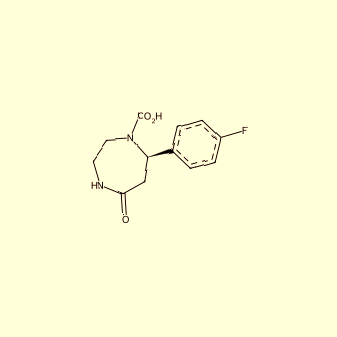 O=C1C[C@H](c2ccc(F)cc2)N(C(=O)O)CCN1